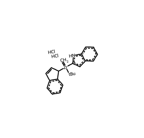 Cl.Cl.[CH2]=[Zr]([c]1cc2ccccc2[nH]1)([CH]1C=Cc2ccccc21)[C](C)(C)C